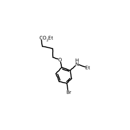 CCNc1cc(Br)ccc1OCCCC(=O)OCC